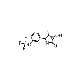 CC1C(c2cccc(OC(F)(F)F)c2)NC(=O)N1O